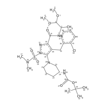 COC(OC)C(C)NC(=O)c1nn(S(=O)(=O)N(C)C)c(N2CCC[C@@H](NC(=O)OC(C)(C)C)C2)c1Cc1ccccc1Cl